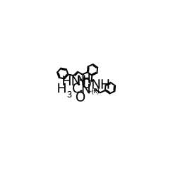 CC(=O)NC[C@@H](Cc1ccccc1)NC(=O)c1ccccc1-c1cc(-c2ccccc2)[nH]n1